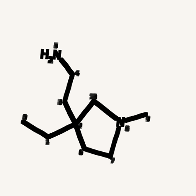 CCC1(CCN)CCN(C)C1